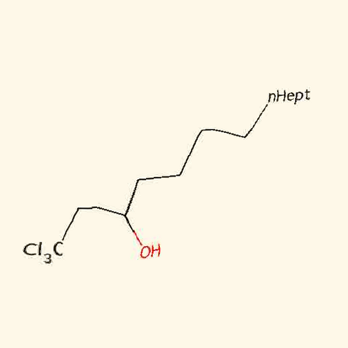 CCCCCCCCCCCC(O)CC(Cl)(Cl)Cl